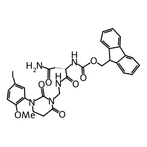 COc1ccc(I)cc1N1CCC(=O)N(CNC(=O)[C@H](CC(N)=O)NC(=O)OCC2c3ccccc3-c3ccccc32)C1=O